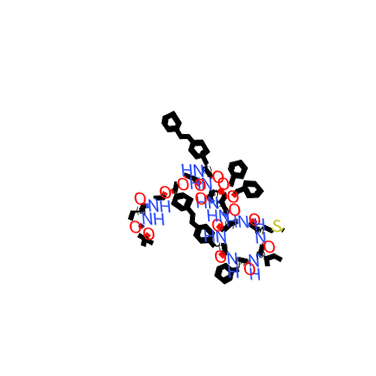 CCC(C)[C@@H]1NC(=O)[C@H](Cc2ccccc2)NC(=O)[C@H](Cc2ccc(CCc3ccccc3)cc2)NC(=O)[C@@H](NC(=O)[C@@H](NC(=O)[C@H](COCc2ccccc2)NC(=O)[C@H](Cc2ccc(CCc3ccccc3)cc2)NC(=O)COCCOCCNC(=O)[C@H](CC)NC(=O)OC(C)(C)C)C(C)OCc2ccccc2)CNC(=O)[C@H](CCSC)NC1=O